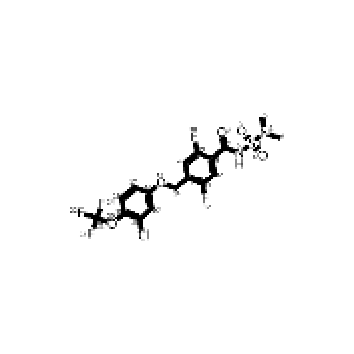 CN(C)S(=O)(=O)NC(=O)c1cc(F)c(COc2ccc(OC(F)(F)F)c(Cl)c2)cc1F